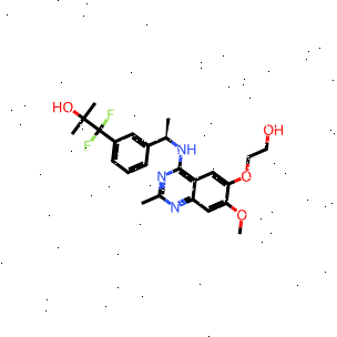 COc1cc2nc(C)nc(N[C@H](C)c3cccc(C(F)(F)C(C)(C)O)c3)c2cc1OCCO